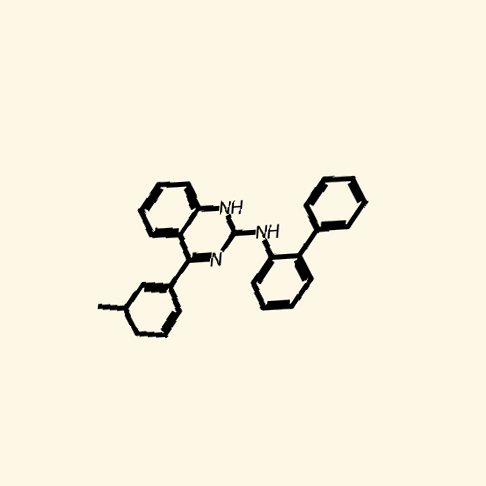 CC1C=C(C2=NC(Nc3ccccc3-c3ccccc3)Nc3ccccc32)C=CC1